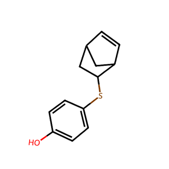 Oc1ccc(SC2CC3C=CC2C3)cc1